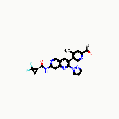 CCC(=O)c1cc(C)c(-c2cc3cnc(NC(=O)[C@H]4CC4(F)F)cc3nc2-n2cccn2)cn1